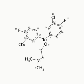 CN(C)CCOB(c1ccc(F)c(Cl)c1)c1ccc(F)c(Cl)c1